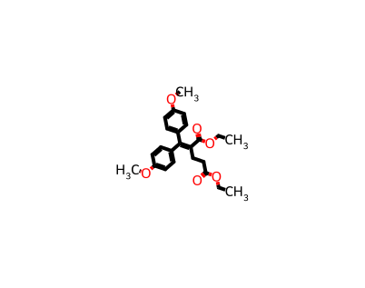 CCOC(=O)CCC(C(=O)OCC)=C(c1ccc(OC)cc1)c1ccc(OC)cc1